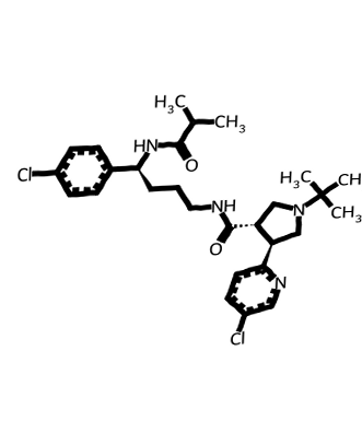 CC(C)C(=O)N[C@@H](CCCNC(=O)[C@@H]1CN(C(C)(C)C)C[C@H]1c1ccc(Cl)cn1)c1ccc(Cl)cc1